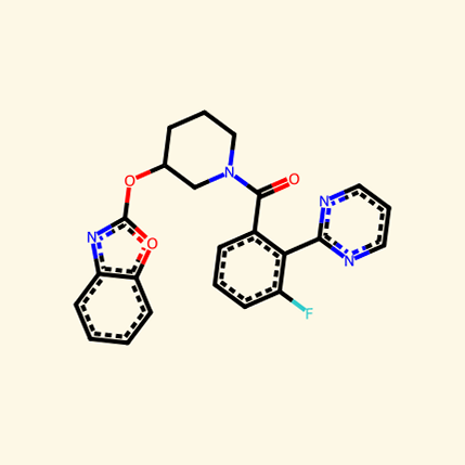 O=C(c1cccc(F)c1-c1ncccn1)N1CCCC(Oc2nc3ccccc3o2)C1